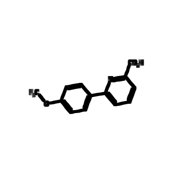 O=C(O)c1cccc(-c2ccc(OC(F)(F)F)cc2)n1